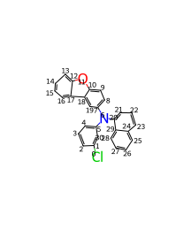 Clc1cccc(N(c2ccc3oc4ccccc4c3c2)c2cccc3ccccc23)c1